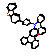 c1ccc(-c2ccccc2N(c2ccc(-c3ccc4sc5ccccc5c4c3)cc2)c2ccc3c4ccccc4c4ccccc4c3c2)cc1